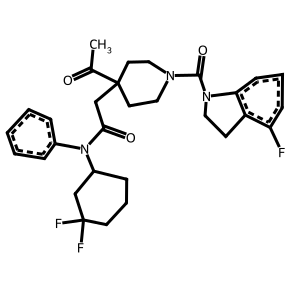 CC(=O)C1(CC(=O)N(c2ccccc2)C2CCCC(F)(F)C2)CCN(C(=O)N2CCc3c(F)cccc32)CC1